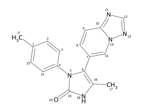 Cc1ccc(-n2c(-c3ccc4ncnn4c3)c(C)[nH]c2=O)cc1